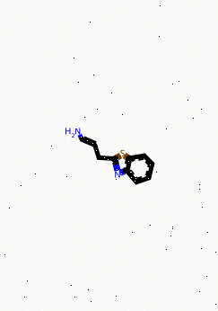 NC=CCc1nc2ccccc2s1